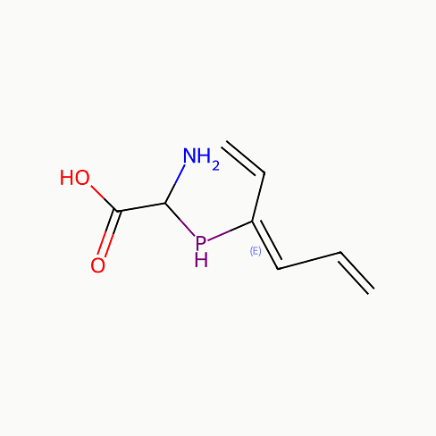 C=C/C=C(\C=C)PC(N)C(=O)O